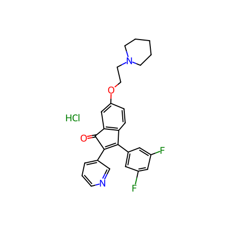 Cl.O=C1C(c2cccnc2)=C(c2cc(F)cc(F)c2)c2ccc(OCCN3CCCCC3)cc21